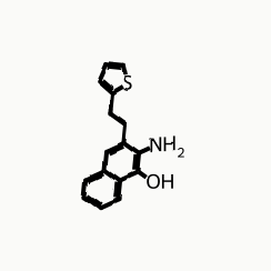 Nc1c(CCc2cccs2)cc2ccccc2c1O